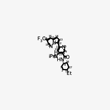 CC[C@H]1CC[C@H](NC(=O)c2cnc(-c3ccc4cc(C(F)(F)F)cnn34)cc2NC(C)C)CC1